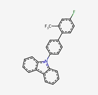 Fc1ccc(-c2ccc(-n3c4ccccc4c4ccccc43)cc2)c(C(F)(F)F)c1